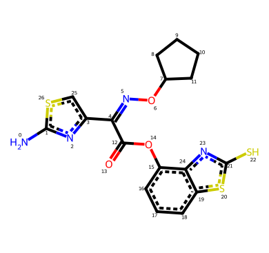 Nc1nc(C(=NOC2CCCC2)C(=O)Oc2cccc3sc(S)nc23)cs1